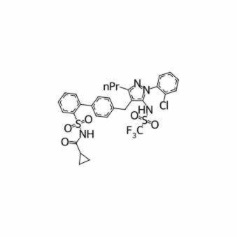 CCCc1nn(-c2ccccc2Cl)c(NS(=O)(=O)C(F)(F)F)c1Cc1ccc(-c2ccccc2S(=O)(=O)NC(=O)C2CC2)cc1